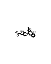 COC(=O)C(N)CC1CCN(C2=Cc3ccccc3Nc3sc(C)cc32)CC1